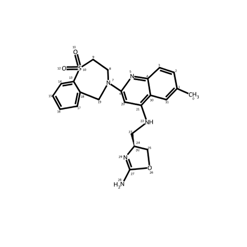 Cc1ccc2nc(N3CCS(=O)(=O)c4ccccc4C3)cc(NC[C@H]3COC(N)=N3)c2c1